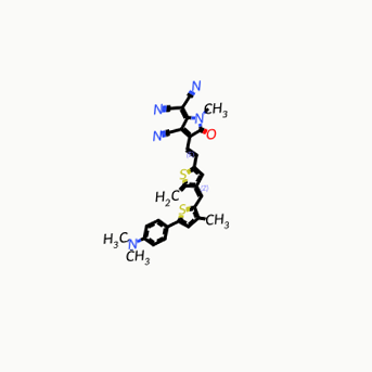 C=c1sc(/C=C/C2=C(C#N)C(=C(C#N)C#N)N(C)C2=O)c/c1=C/c1sc(-c2ccc(N(C)C)cc2)cc1C